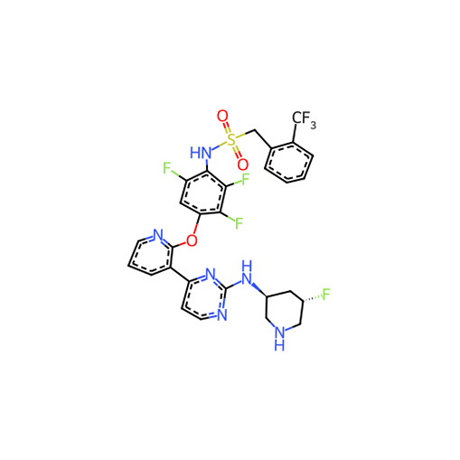 O=S(=O)(Cc1ccccc1C(F)(F)F)Nc1c(F)cc(Oc2ncccc2-c2ccnc(N[C@@H]3CNC[C@@H](F)C3)n2)c(F)c1F